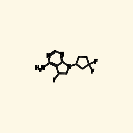 Nc1ncnc2c1c(I)cn2C1CCC(F)(F)C1